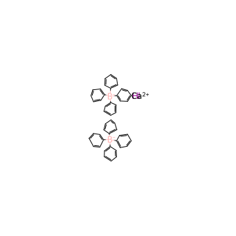 I.[Ca+2].c1ccc([B-](c2ccccc2)(c2ccccc2)c2ccccc2)cc1.c1ccc([B-](c2ccccc2)(c2ccccc2)c2ccccc2)cc1